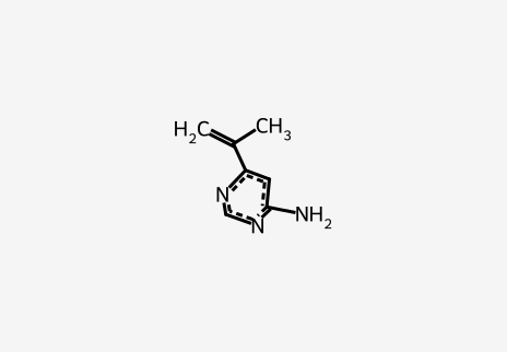 C=C(C)c1cc(N)ncn1